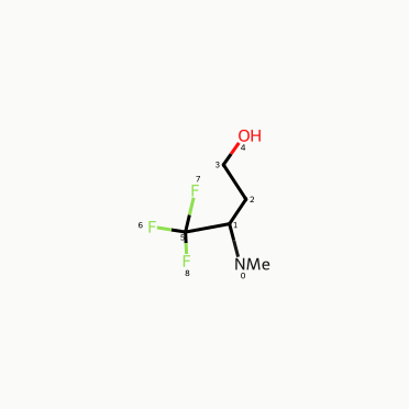 CNC(CCO)C(F)(F)F